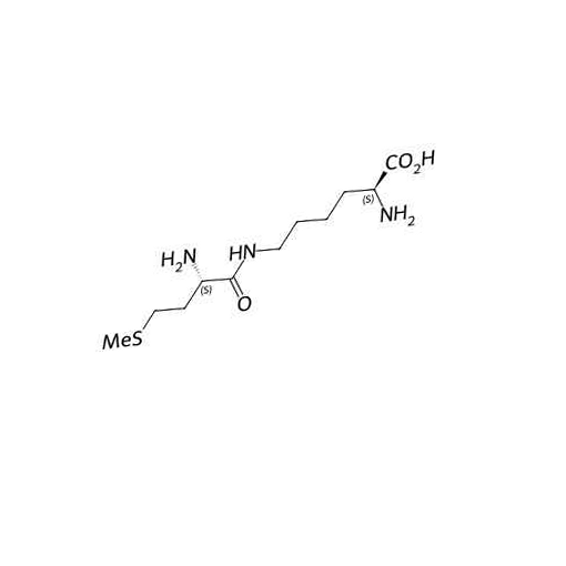 CSCC[C@H](N)C(=O)NCCCC[C@H](N)C(=O)O